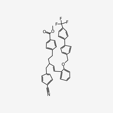 COC(=O)c1ccc(CCC(/C=C/c2ccccc2OCc2ccc(-c3ccc(C(F)(F)F)cc3)cc2)Cc2ccc(C#N)cc2)cc1